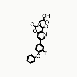 O=C(O)Cn1c(=O)oc2cc(-c3ccc(Oc4ccccc4)c(F)c3)cnc2c1=O